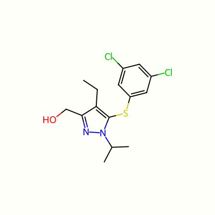 CCc1c(CO)nn(C(C)C)c1Sc1cc(Cl)cc(Cl)c1